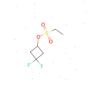 CCS(=O)(=O)OC1CC(F)(F)C1